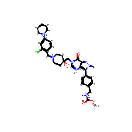 Cn1nc2c(=O)n(CC3(O)CCN(Cc4ccc(N5CCCCC5)cc4Cl)CC3)cnc2c1-c1ccc(CNC(=O)OC(C)(C)C)cc1